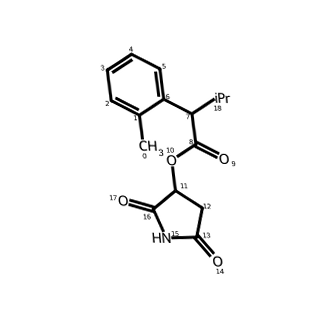 Cc1ccccc1C(C(=O)OC1CC(=O)NC1=O)C(C)C